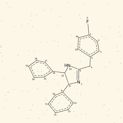 Fc1ccc(CC2=NC(c3ccccc3)C(c3ccccc3)N2)cc1